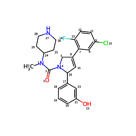 CN(C(=O)N1CC(c2cc(Cl)ccc2F)=CC1c1cccc(O)c1)C1CCNCC1